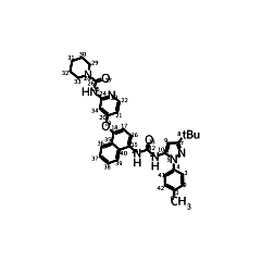 Cc1ccc(-n2nc(C(C)(C)C)cc2NC(=O)Nc2ccc(Oc3ccnc(NC(=O)N4CCCCC4)c3)c3ccccc23)cc1